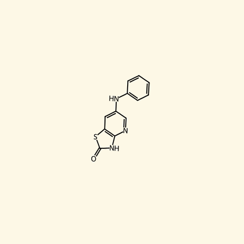 O=c1[nH]c2ncc(Nc3ccccc3)cc2s1